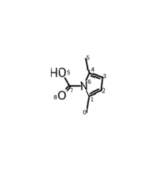 Cc1ccc(C)n1C(=O)O